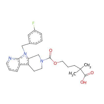 CC(C)(CCCOC(=O)N1CCc2c(n(Cc3cccc(F)c3)c3ncccc23)C1)C(=O)O